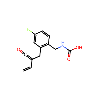 C=CC(=C=O)Cc1cc(F)ccc1CNC(=O)O